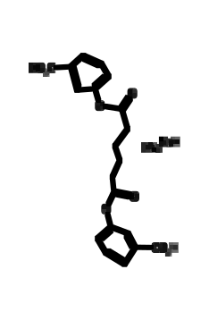 O=C(CCCCC(=O)Oc1cccc(C(=O)O)c1)Oc1cccc(C(=O)O)c1.[NaH].[NaH]